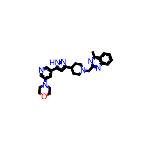 Cc1nc(CN2CCC(c3cc(-c4cncc(N5CCOCC5)c4)[nH]n3)CC2)nc2ccccc12